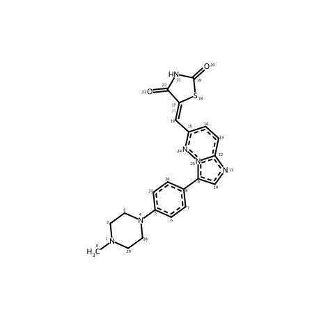 CN1CCN(c2ccc(-c3cnc4ccc(/C=C5\SC(=O)NC5=O)nn34)cc2)CC1